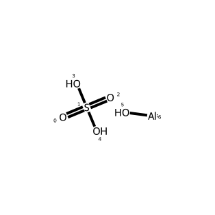 O=S(=O)(O)O.[OH][Al]